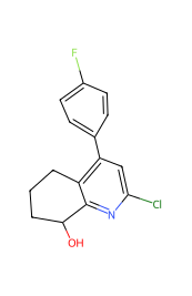 OC1CCCc2c(-c3ccc(F)cc3)cc(Cl)nc21